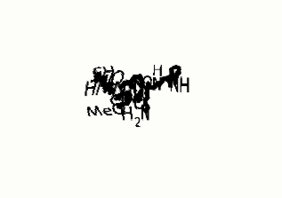 COCCN(CC(=O)N(CC(=O)NCCS)Cc1cccnc1)C(=O)CN(CCCN)C(=O)CNCCc1c[nH]c2ccccc12